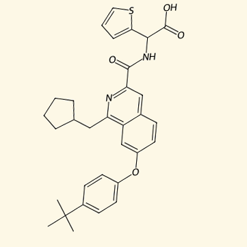 CC(C)(C)c1ccc(Oc2ccc3cc(C(=O)NC(C(=O)O)c4cccs4)nc(CC4CCCC4)c3c2)cc1